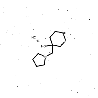 Cl.Cl.OC1(CN2CCCC2)CCNCC1